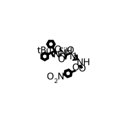 CC(C)(C)C1(c2ccccc2)CN(c2nc(C(=O)N3CC(NC(=O)OCc4ccc([N+](=O)[O-])cc4)C3)co2)C1(O[SiH3])c1ccccc1